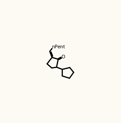 CCCCCC=C1CCC(C2CCCC2)C1=O